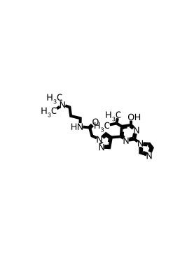 CC(C)c1c(O)nc(-n2ccnc2)nc1-c1cnn(CC(=O)NCCCN(C)C)c1